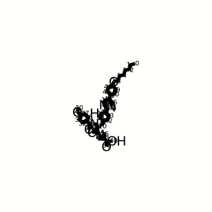 CCCCCCCOc1ccc(-c2cnc(-c3ccc(C[C@H](NC(=O)c4ccc(OC)cc4)C(=O)N4CC(C(=O)O)C4)cc3)nc2)cc1